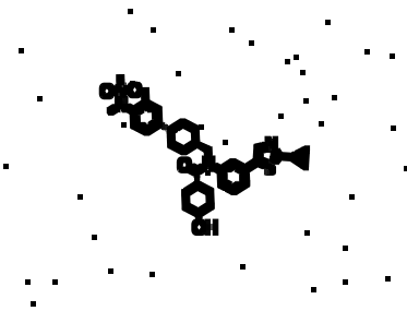 Cc1cc([C@H]2CC[C@H](CN(c3cccc(-c4cnc(C5CC5)s4)c3)C(=O)[C@H]3CC[C@H](O)CC3)CC2)ccc1N(C)S(C)(=O)=O